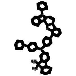 CC1(C)c2ccccc2-c2ccc(N(c3ccc(-c4ccccc4)cc3)c3ccc(-c4cccc5c4OC4c6c(n(-c7ccccc7)c7ccccc67)C=CC54)cc3)cc21